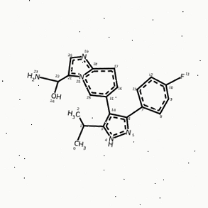 CC(C)c1[nH]nc(-c2ccc(F)cc2)c1-c1ccc2ncc(C(N)O)n2c1